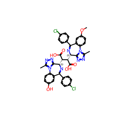 COc1ccc2c(c1)C(c1ccc(Cl)cc1)=N[C@@H](C(C(=O)O)C(C(=O)O)[C@@H]1N=C(c3ccc(Cl)cc3)c3cc(O)ccc3-n3c(C)nnc31)c1nnc(C)n1-2